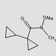 CON(C)C(=O)C1(C2CC2)CC1